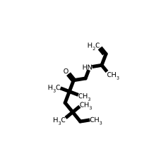 C=CC(C)NCC(=O)C(C)(C)CC(C)(C)CC